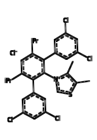 Cc1sc[n+](-c2c(-c3cc(Cl)cc(Cl)c3)c(C(C)C)cc(C(C)C)c2-c2cc(Cl)cc(Cl)c2)c1C.[Cl-]